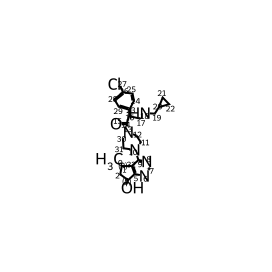 C[C@@H]1C[C@H](O)c2ncnc(N3CCN(C(=O)C(CNCC4CC4)c4ccc(Cl)cc4)CC3)c21